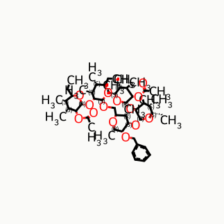 CCC1O[C@H](OC2[C@@H](OCC3O[C@H](C)C(OCc4ccccc4)[C@@H](O[C@H]4O[C@@H](CC)[C@@H](C)C(C)C4O[C@H]4O[C@@H](CC)[C@@H](C)C(C)C4OC(C)=O)[C@@H]3C)OC(CC)[C@@H](C)[C@@H]2C)C(OC(C)=O)[C@@H](C)[C@@H]1C